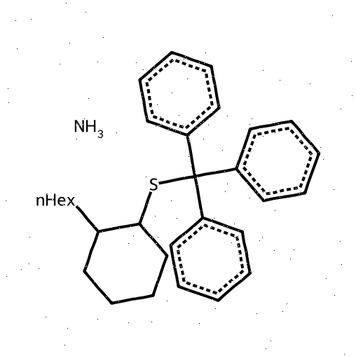 CCCCCCC1CCCCC1SC(c1ccccc1)(c1ccccc1)c1ccccc1.N